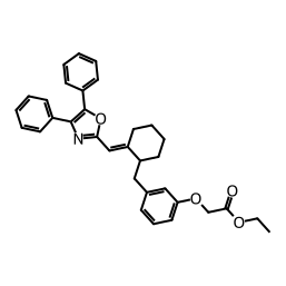 CCOC(=O)COc1cccc(CC2CCCCC2=Cc2nc(-c3ccccc3)c(-c3ccccc3)o2)c1